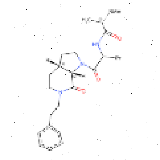 CN[C@@H](C)C(=O)NC(C(=O)N1CC[C@H]2CCN(CCc3ccccc3)C(=O)[C@H]21)C(C)C